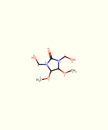 COC1C(OC)N(CO)C(=O)N1CO